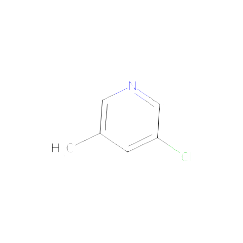 Cc1cn[c]c(Cl)c1